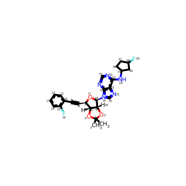 CC1(C)O[C@@H]2[C@H](O1)[C@@H](C#Cc1ccccc1F)O[C@H]2n1cnc2c(NC3CCC(F)C3)ncnc21